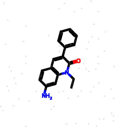 CCn1c(=O)c(-c2ccccc2)cc2ccc(N)cc21